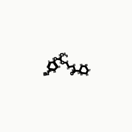 CCC(C)c1ccc(OC(C)OCCCC(=O)C2CCCCC2)cc1